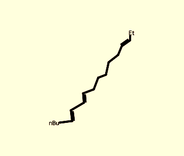 CCC=CCCCCCC=CC=CCCCC